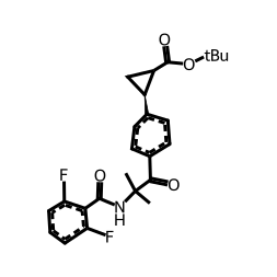 CC(C)(C)OC(=O)C1C[C@@H]1c1ccc(C(=O)C(C)(C)NC(=O)c2c(F)cccc2F)cc1